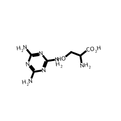 NC(CO)C(=O)O.Nc1nc(N)nc(N)n1